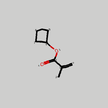 C=C(C)C(=O)OC1CCC1